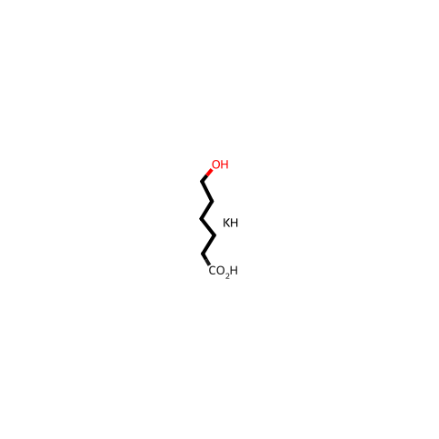 O=C(O)CCCCCO.[KH]